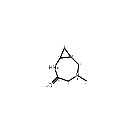 CN1CC(=O)NC2CC2C1